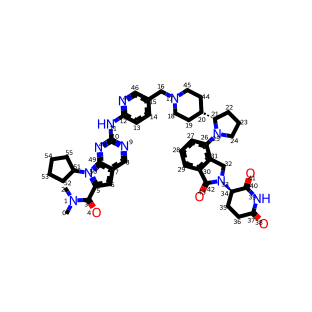 CN(C)C(=O)c1cc2cnc(Nc3ccc(CN4CCC([C@@H]5CCCN5c5cccc6c5CN([C@@H]5CCC(=O)NC5=O)C6=O)CC4)cn3)nc2n1C1CCCC1